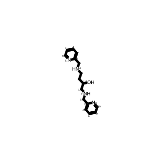 OC(CCNCc1ccccn1)CNCc1ccccn1